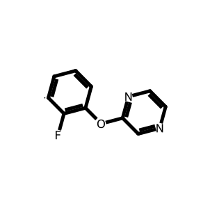 Fc1[c]cccc1Oc1cnccn1